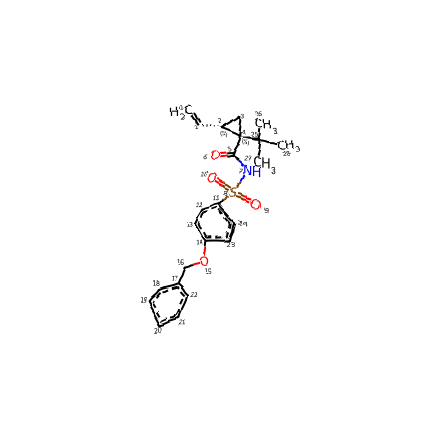 C=C[C@@H]1C[C@@]1(C(=O)NS(=O)(=O)c1ccc(OCc2ccccc2)cc1)C(C)(C)C